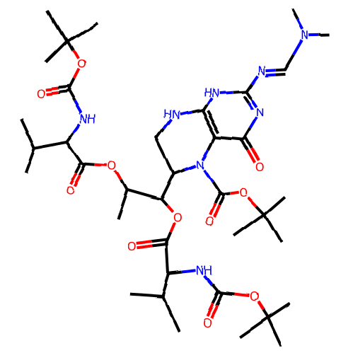 CC(C)C(NC(=O)OC(C)(C)C)C(=O)OC(C)C(OC(=O)C(NC(=O)OC(C)(C)C)C(C)C)C1CNc2[nH]c(/N=C/N(C)C)nc(=O)c2N1C(=O)OC(C)(C)C